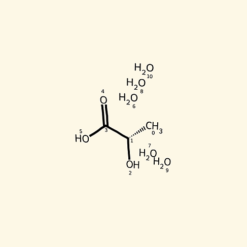 C[C@H](O)C(=O)O.O.O.O.O.O